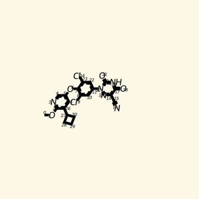 COc1ncc(Oc2c(Cl)cc(-n3nc(C#N)c(=O)[nH]c3=O)cc2Cl)cc1C1CCC1